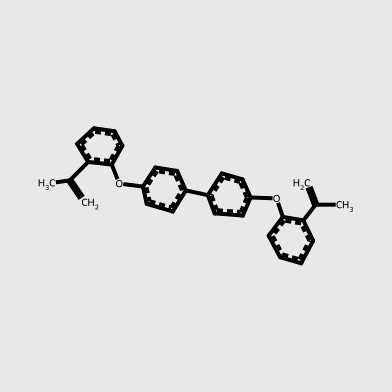 C=C(C)c1ccccc1Oc1ccc(-c2ccc(Oc3ccccc3C(=C)C)cc2)cc1